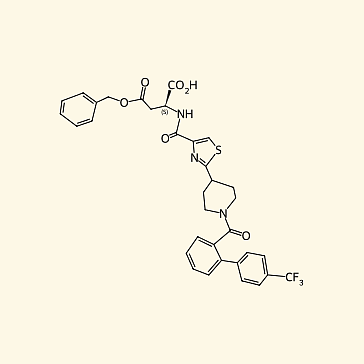 O=C(C[C@H](NC(=O)c1csc(C2CCN(C(=O)c3ccccc3-c3ccc(C(F)(F)F)cc3)CC2)n1)C(=O)O)OCc1ccccc1